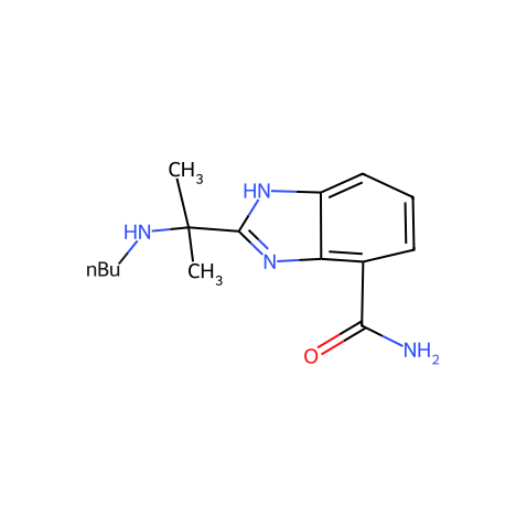 CCCCNC(C)(C)c1nc2c(C(N)=O)cccc2[nH]1